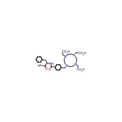 CCCC(=O)C(Cc1ccccc1)NC(=O)c1ccc(CN2CCN(CC(=O)O)CCN(CC(=O)O)CCN(CC(=O)O)CC2)cc1